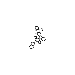 O=c1c2ccccc2oc2cc3c(cc12)-c1ccccc1C31c2ccccc2N(c2ccc3ccccc3c2)c2ccccc21